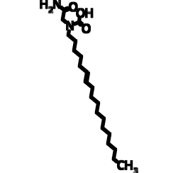 CCCCCCCCCCCC=CCCCCCN(CC(N)=O)C(=O)O